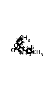 Cc1ccc(-c2cc3c(cn2)C(=O)OC32CCN(C)CC2)cc1F